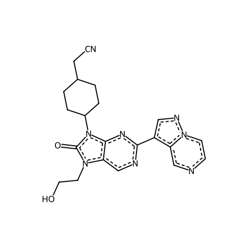 N#CCC1CCC(n2c(=O)n(CCO)c3cnc(-c4cnn5ccncc45)nc32)CC1